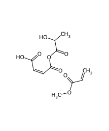 C=CC(=O)OC.CC(O)C(=O)OC(=O)/C=C\C(=O)O